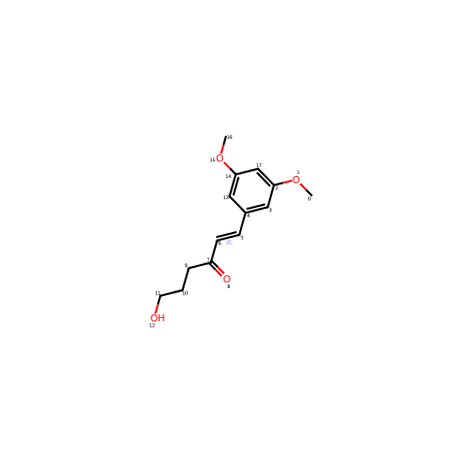 COc1cc(/C=C/C(=O)CCCO)cc(OC)c1